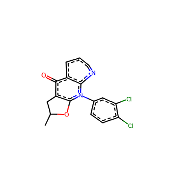 CC1Cc2c(n(-c3ccc(Cl)c(Cl)c3)c3ncccc3c2=O)O1